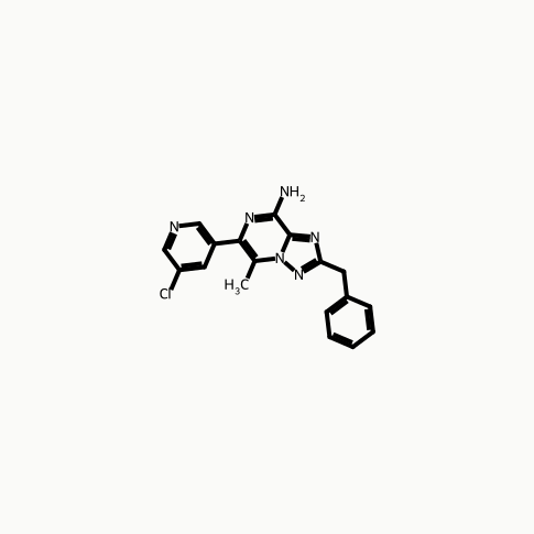 Cc1c(-c2cncc(Cl)c2)nc(N)c2nc(Cc3ccccc3)nn12